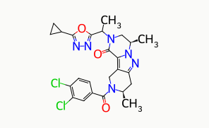 CC(c1nnc(C2CC2)o1)N1C[C@@H](C)n2nc3c(c2C1=O)CN(C(=O)c1ccc(Cl)c(Cl)c1)[C@H](C)C3